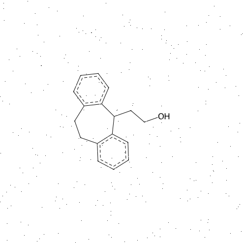 OCCC1c2ccccc2CCc2ccccc21